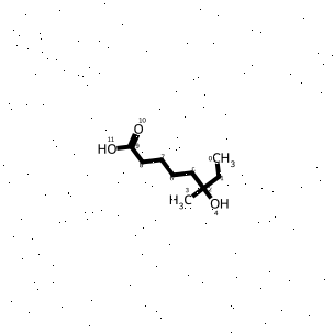 CCC(C)(O)CCCCC(=O)O